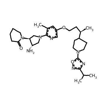 Cc1cc(OCC[C@@H](C)C2CCN(c3nc(C(C)C)no3)CC2)cnc1N1C[C@H](N)[C@@H](N2CCCCC2=O)C1